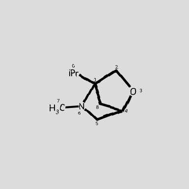 CC(C)C12COC(CN1C)C2